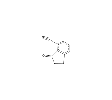 N#Cc1cccc2c1C(=O)CC2